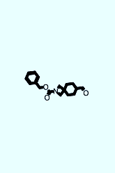 O=CC1CCC2(CC1)CN(C(=O)OCc1ccccc1)C2